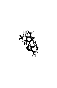 C[C@@H](O)[C@]12C[C@@H]1[C@@H](n1ccc3c(Cl)ncnc31)[C@@H]1OC(C)(C)O[C@]12C